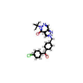 CC(C)(C)n1ncc2nn(Cc3ccc(C(=O)c4ccc(Cl)cc4)cc3)cc2c1=O